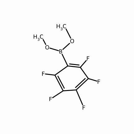 COB(OC)c1c(F)c(F)c(F)c(F)c1F